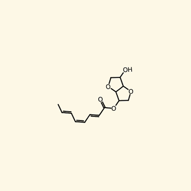 CC=C/C=C\C=C\C(=O)OC1COC2C(O)COC12